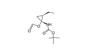 CC[C@@H]1C[C@@]1(NC(=O)OC(C)(C)C)OC=O